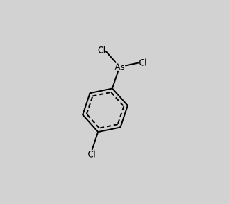 Clc1ccc([As](Cl)Cl)cc1